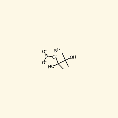 CC(C)(O)C(C)(C)O.[B+3].[O-]B([O-])[O-]